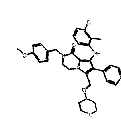 COc1ccc(CN2CCn3c(COC4CCOCC4)c(-c4ccncc4)c(Nc4cccc(Cl)c4C)c3C2=O)cc1